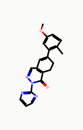 COc1ccc(C)c(C2=Cc3cnn(-c4ncccn4)c(=O)c3CC2)c1